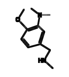 CNCc1ccc(OC)c(N(C)C)c1